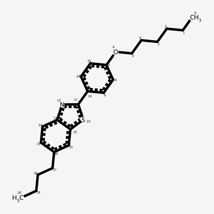 CCCCCCOc1ccc(-c2nc3ccc(CCCC)cc3s2)cc1